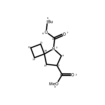 COC(=O)C1CN(C(=O)OC(C)(C)C)C2(CCC2)C1